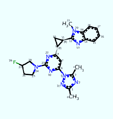 Cc1nc(C)n(-c2cc([C@@H]3C[C@H]3c3nc4ccccc4n3C)nc(N3CCC(F)C3)n2)n1